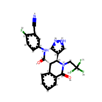 N#Cc1cc(NC(=O)[C@H]2c3ccccc3C(=O)N(CC(F)(F)F)[C@@H]2c2cn[nH]c2)ccc1F